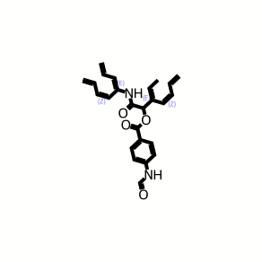 C=C/C=C\C(=C/C=C)NC(=O)C(OC(=O)c1ccc(NC=O)cc1)C(/C=C\C=C)=C/C